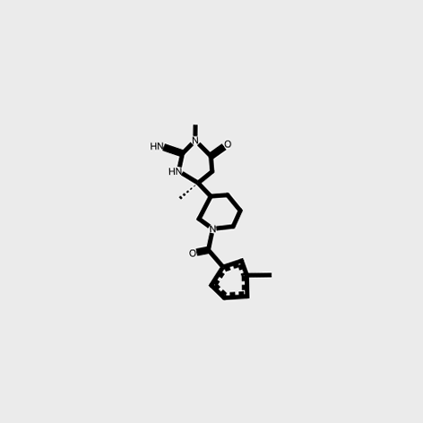 Cc1cccc(C(=O)N2CCCC([C@]3(C)CC(=O)N(C)C(=N)N3)C2)c1